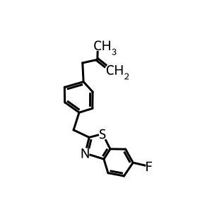 C=C(C)Cc1ccc(Cc2nc3ccc(F)cc3s2)cc1